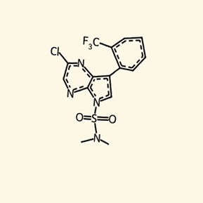 CN(C)S(=O)(=O)n1cc(-c2ccccc2C(F)(F)F)c2nc(Cl)cnc21